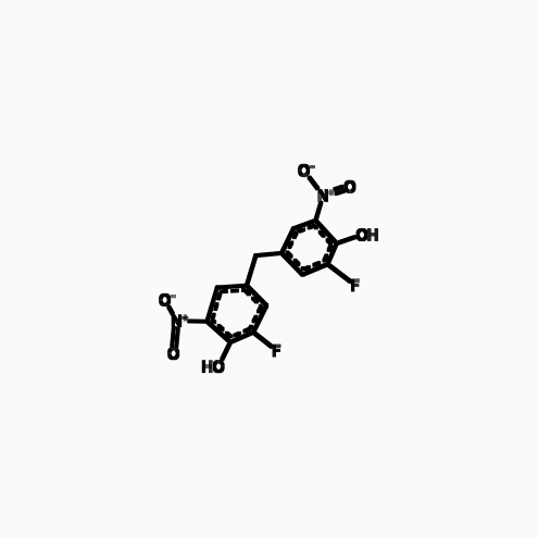 O=[N+]([O-])c1cc(Cc2cc(F)c(O)c([N+](=O)[O-])c2)cc(F)c1O